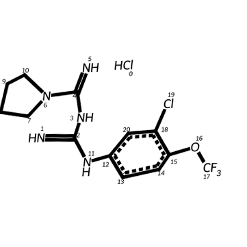 Cl.N=C(NC(=N)N1CCCC1)Nc1ccc(OC(F)(F)F)c(Cl)c1